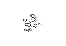 Cc1ccc([C@@H](CC(=O)O)c2ccn3c(C(F)F)nnc3c2C)cc1CN1CC2(CC2)Oc2ncccc2S1(=O)=O